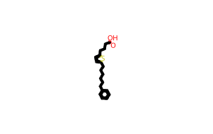 O=C(O)CCCc1ccc(CCCCCCc2ccccc2)s1